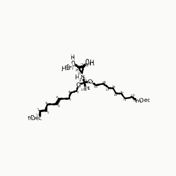 Br.CCCCCCCCCCCCCCCCCCOC(N)(CC)OCCCCCCCCCCCCCCCCCC.OC1CC1O